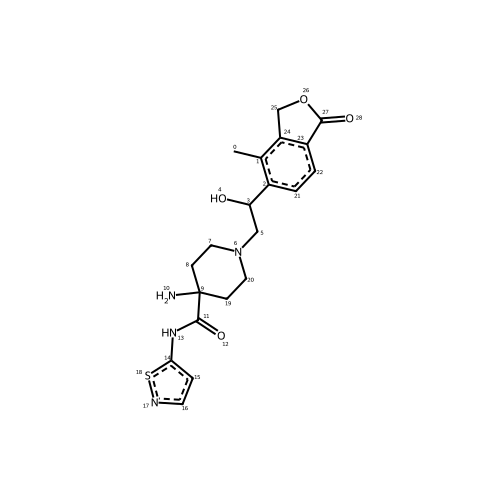 Cc1c(C(O)CN2CCC(N)(C(=O)Nc3ccns3)CC2)ccc2c1COC2=O